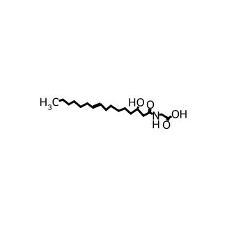 CCCCCCC=CCCCCCC(O)CC(=O)NCC(=O)O